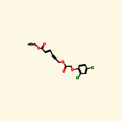 CCCCCCCCOC(=O)/C=C/C#CCOC(=O)COc1ccc(Cl)cc1Cl